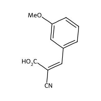 COc1cccc(C=C(C#N)C(=O)O)c1